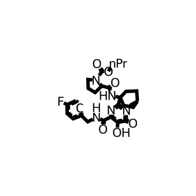 CCCOC(=O)N1CCCC1C(=O)NC12CCC(CC1)Cn1c2nc(C(=O)NCc2ccc(F)cc2)c(O)c1=O